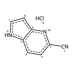 Cl.N#Cc1ccc2[nH]ccc2n1